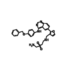 NCS(=O)(=O)CCNCc1ccoc1-c1ccc2ncnc(Nc3ccc(OCc4ccccc4)cc3)c2c1